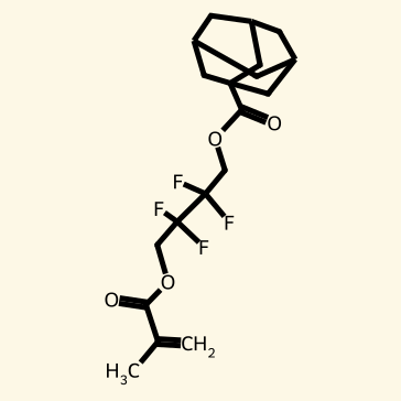 C=C(C)C(=O)OCC(F)(F)C(F)(F)COC(=O)C12CC3CC(CC(C3)C1)C2